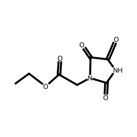 CCOC(=O)CN1C(=O)NC(=O)C1=O